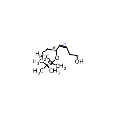 CC[C@@H](/C=C\CCO)O[Si](C)(C)C(C)(C)C